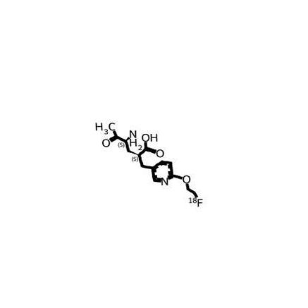 CC(=O)[C@@H](N)C[C@H](Cc1ccc(OCC[18F])nc1)C(=O)O